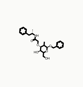 CC1[C@@H](OCc2ccccc2)OC(CO)[C@@H](O)[C@@H]1OCC(=O)N[C@@H](C)Cc1ccccc1